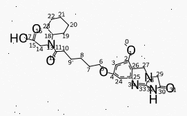 COc1cc(OCCCCCC(=O)N(CC(=O)O)C2CCCCC2)cc2c1CN1CC(=O)NC1=N2